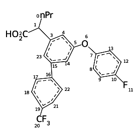 CCCC(C(=O)O)c1cc(Oc2ccc(F)cc2)cc(-c2ccc(C(F)(F)F)cc2)c1